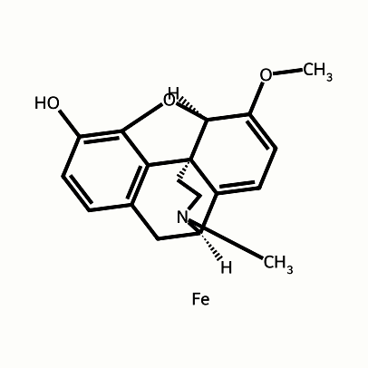 COC1=CC=C2[C@H]3Cc4ccc(O)c5c4[C@@]2(CCN3C)[C@H]1O5.[Fe]